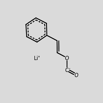 O=[C-]OC=Cc1ccccc1.[Li+]